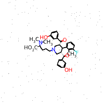 Cc1c(F)cccc1C1[C@@H](C(=O)c2cccc(O)c2)CN(CCC[C@@H](C(=O)O)N(C)C)C[C@H]1C(=O)c1cccc(O)c1